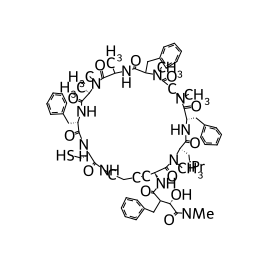 CNC(=O)[C@@H](O)C(Cc1ccccc1)C(=O)N[C@H]1CCCCNC(=O)[C@H](CS)NC(=O)[C@H](Cc2ccccc2)NC(=O)[C@H](C)N(C)C(=O)C(C)NC(=O)C(Cc2ccccc2)N(C)C(=O)CN(C)C(=O)[C@H](Cc2ccccc2)NC(=O)[C@H](CC(C)C)N(C)C1=O